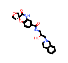 O=C(NC[C@H](O)CN1CCc2ccccc2C1)c1ccc2c(c1)NC(=O)[C@@]1(CCOC1)O2